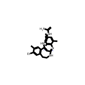 C=C(N)NCCN/C1=C\C(=N/c2c(C)cc(C)cc2C)NCCc2cc(CC)c(C)cc21